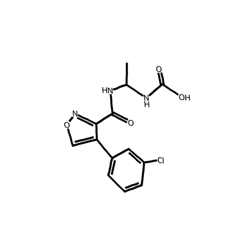 CC(NC(=O)O)NC(=O)c1nocc1-c1cccc(Cl)c1